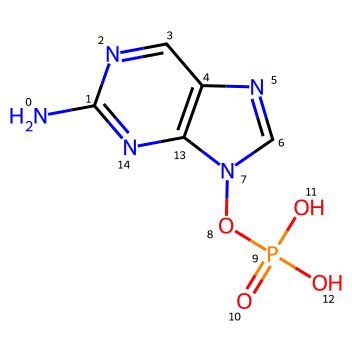 Nc1ncc2ncn(OP(=O)(O)O)c2n1